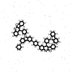 c1ccc(-c2ccc3c(c2)c2cc(-c4ccc(-c5ccc6nc7oc8ccccc8c7c(-c7cccc(-n8c9ccccc9c9ccccc98)c7)c6c5)cc4)ccc2n3-c2cccc(-c3c4ccccc4nc4oc5ccccc5c34)c2)cc1